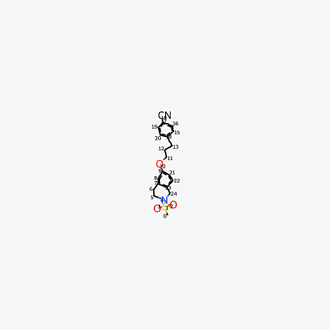 CS(=O)(=O)N1CCc2cc(OCCCc3ccc(C#N)cc3)ccc2C1